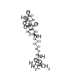 CC(C)(C)OC(=O)NCCCCCCCNc1ccc2c(c1)C(=O)N(C1CCC(=O)NC1=O)C2=O